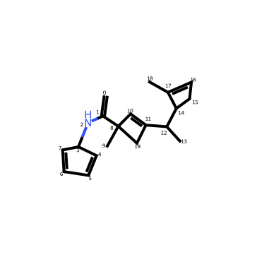 C=C(NC1C=CC=C1)C1(C)C=C(C(C)C2CC=C2C)C1